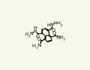 NNC(=O)c1ccc(C(=O)NN)c2c(C(N)=O)ccc(C(N)=O)c12